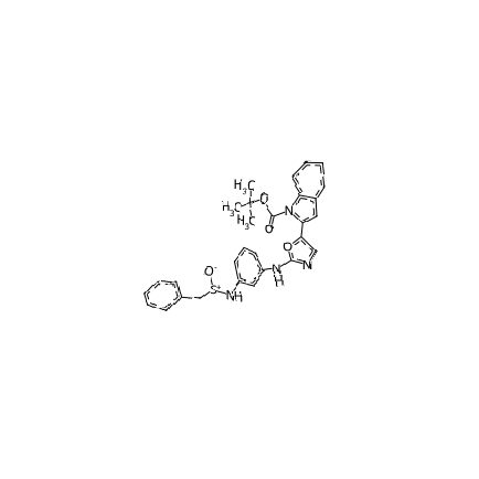 CC(C)(C)OC(=O)n1c(-c2cnc(Nc3cccc(N[S+]([O-])Cc4ccccc4)c3)o2)cc2ccccc21